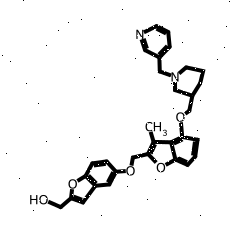 Cc1c(COc2ccc3oc(CO)cc3c2)oc2cccc(OCC3CCCN(Cc4cccnc4)C3)c12